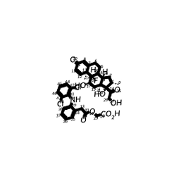 C[C@H]1C[C@H]2[C@@H]3CCC4=CC(=O)C=C[C@]4(C)[C@@]3(F)[C@@H](O)C[C@]2(C)[C@@]1(O)C(=O)CO.O=C(O)COC(=O)Cc1ccccc1Nc1c(Cl)cccc1Cl